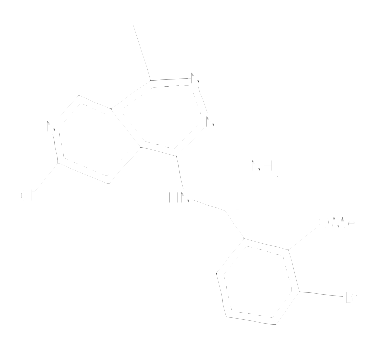 COc1c(Br)cccc1[C@@H](N)Nc1nnc(C)c2cnc(Cl)cc12